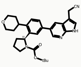 CC(C)(C)OC(=O)N1CCC[C@H]1c1cc(-c2cnc3[nH]cc(CC#N)c3c2)ccc1C1CCOCC1